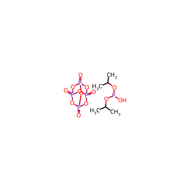 CC(C)OP(O)OC(C)C.O=P12OP3(=O)OP(=O)(O1)OP(=O)(O2)O3